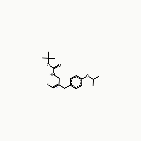 CC(C)Oc1ccc(C/C(=C/F)CNC(=O)OC(C)(C)C)cc1